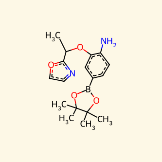 CC(Oc1cc(B2OC(C)(C)C(C)(C)O2)ccc1N)c1ncco1